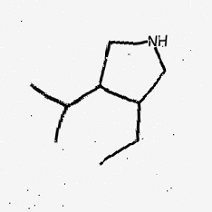 CCC1CNCC1C(C)C